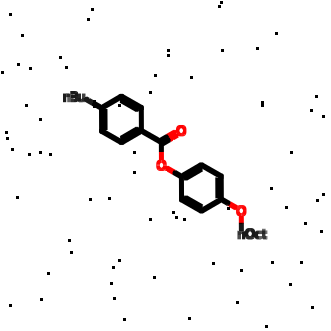 CCCCCCCCOc1ccc(OC(=O)c2ccc(CCCC)cc2)cc1